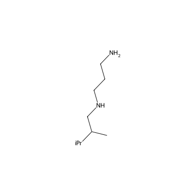 CC(C)C(C)CNCCCN